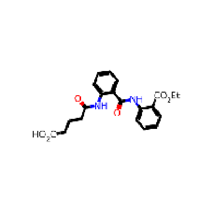 CCOC(=O)c1ccccc1NC(=O)c1ccccc1NC(=O)CCCC(=O)O